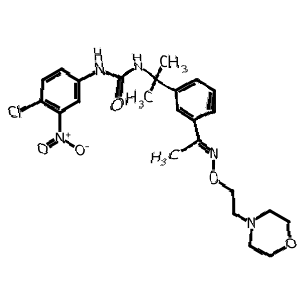 C/C(=N\OCCN1CCOCC1)c1cccc(C(C)(C)NC(=O)Nc2ccc(Cl)c([N+](=O)[O-])c2)c1